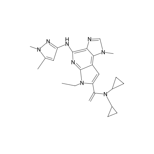 C=C(c1cc2c3c(ncn3C)c(Nc3cc(C)n(C)n3)nc2n1CC)N(C1CC1)C1CC1